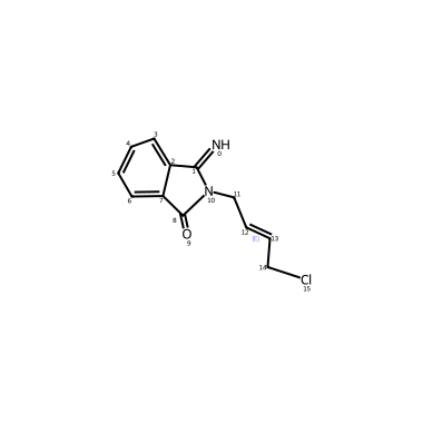 N=C1c2ccccc2C(=O)N1C/C=C/CCl